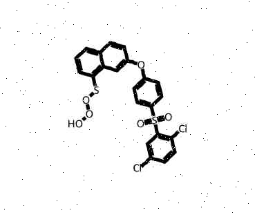 O=S(=O)(c1ccc(Oc2ccc3cccc(SOOO)c3c2)cc1)c1cc(Cl)ccc1Cl